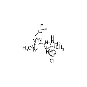 Cn1ncc2c(-c3nc(N)c4c(n3)NC(=O)C4(C)c3ccc(Cl)cn3)nc(CC3CC(F)(F)C3)nc21